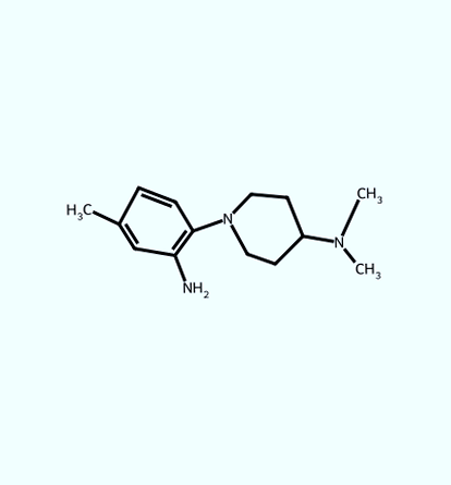 Cc1ccc(N2CCC(N(C)C)CC2)c(N)c1